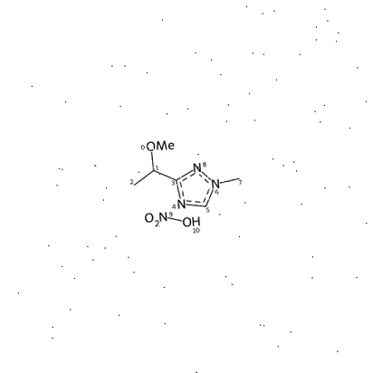 COC(C)c1ncn(C)n1.O=[N+]([O-])O